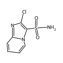 NS(=O)(=O)c1c(Cl)nc2ccccn12